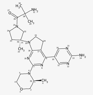 C[C@H]1COCCN1c1nc(-c2cnc(N)nc2)c2c(n1)N([C@@]1(C)CCN(C(=O)C(C)(C)N)C1)CC2